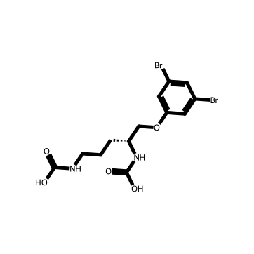 O=C(O)NCCC[C@H](COc1cc(Br)cc(Br)c1)NC(=O)O